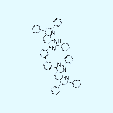 CN1C(c2ccccc2)NC2c3nc(-c4ccccc4)cc(-c4ccccc4)c3C=CC2C1c1cccc(-c2cccc(-c3nc(-c4ccccc4)nc4c3C=CC3C(C5=CC=CCC5)=CC(c5ccccc5)=NC43)c2)c1